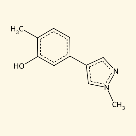 Cc1ccc(-c2cnn(C)c2)cc1O